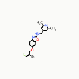 CC/C(=C/F)COc1ccc2nc(NCc3cc(C)nc(C)c3)oc2c1